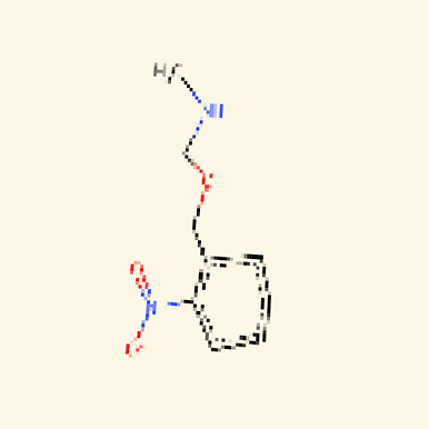 CNCOCc1ccccc1[N+](=O)[O-]